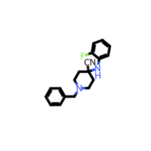 N#CC1(Nc2ccccc2F)CCN(Cc2ccccc2)CC1